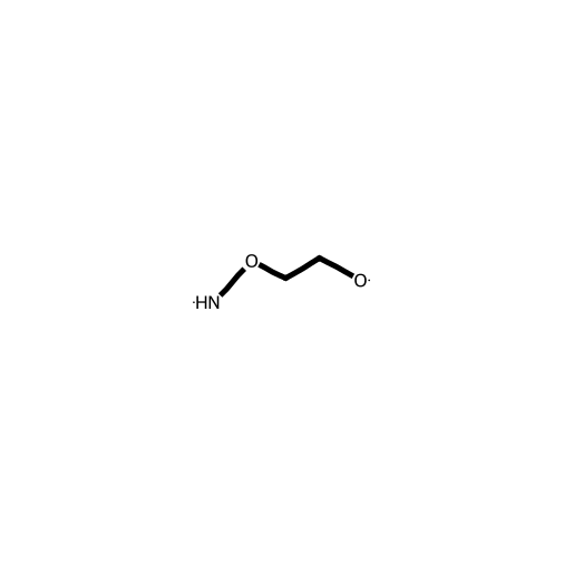 [NH]OCC[O]